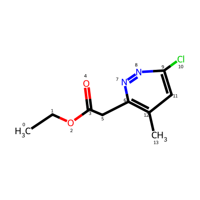 CCOC(=O)Cc1nnc(Cl)cc1C